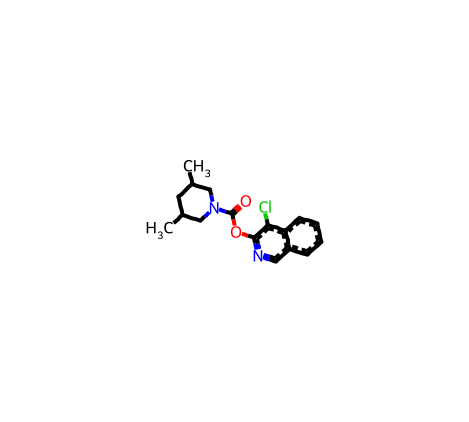 CC1CC(C)CN(C(=O)Oc2ncc3ccccc3c2Cl)C1